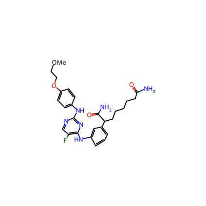 COCCOc1ccc(Nc2ncc(F)c(Nc3cccc(C(CCCCCC(N)=O)C(N)=O)c3)n2)cc1